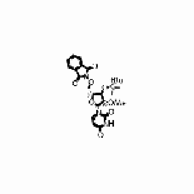 CO[C@@H]1C(O[Si](C)(C)C(C)(C)C)[C@@H](CON2C(=O)c3ccccc3C2=O)O[C@H]1n1ccc(=O)[nH]c1=O